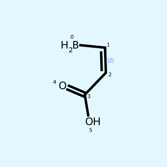 B/C=C\C(=O)O